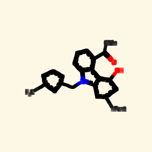 CCCCCc1cc(O)c2c3c(C(=O)OC)cccc3n(Cc3cccc(C(F)(F)F)c3)c2c1